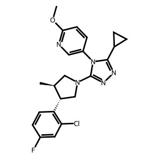 COc1ccc(-n2c(C3CC3)nnc2N2C[C@H](c3ccc(F)cc3Cl)[C@@H](C)C2)cn1